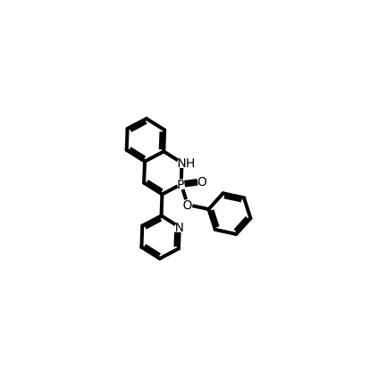 O=P1(Oc2ccccc2)Nc2ccccc2C=C1c1ccccn1